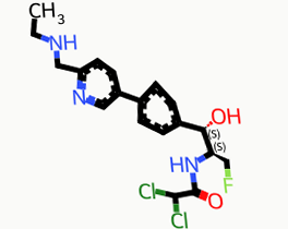 CCNCc1ccc(-c2ccc([C@H](O)[C@@H](CF)NC(=O)C(Cl)Cl)cc2)cn1